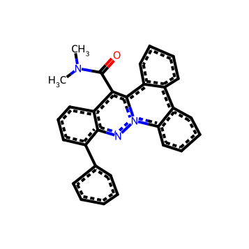 CN(C)C(=O)c1c2cccc(-c3ccccc3)c2n[n+]2c3ccccc3c3ccccc3c12